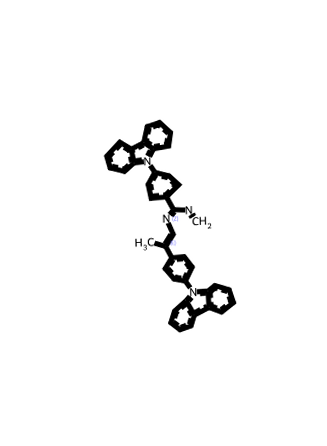 C=N/C(=N\C=C(/C)c1ccc(-n2c3ccccc3c3ccccc32)cc1)c1ccc(-n2c3ccccc3c3ccccc32)cc1